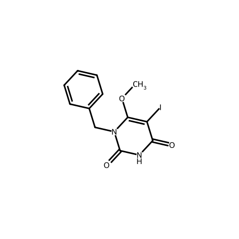 COc1c(I)c(=O)[nH]c(=O)n1Cc1ccccc1